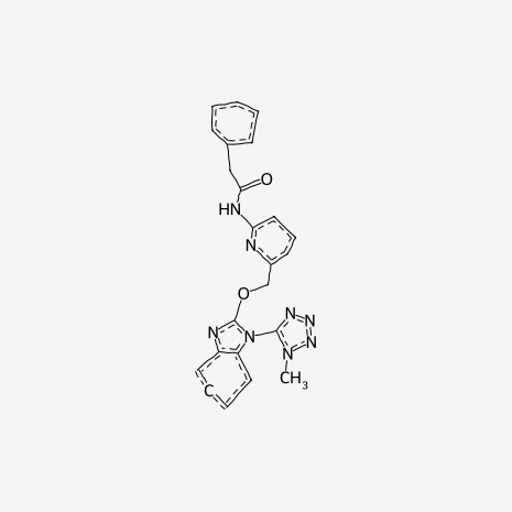 Cn1nnnc1-n1c(OCc2cccc(NC(=O)Cc3ccccc3)n2)nc2ccccc21